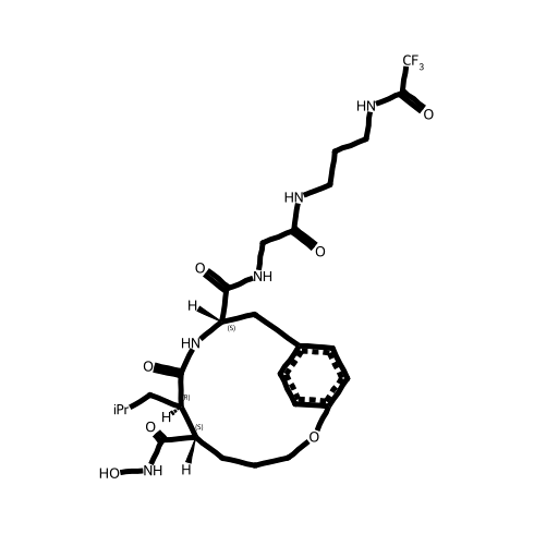 CC(C)C[C@H]1C(=O)N[C@H](C(=O)NCC(=O)NCCCNC(=O)C(F)(F)F)Cc2ccc(cc2)OCCC[C@@H]1C(=O)NO